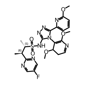 COC1=C(n2c(NS(=O)(=O)[C@@H](C)[C@H](C)c3ncc(F)cn3)nnc2-c2cccc(OC)n2)C(OC)CC=N1